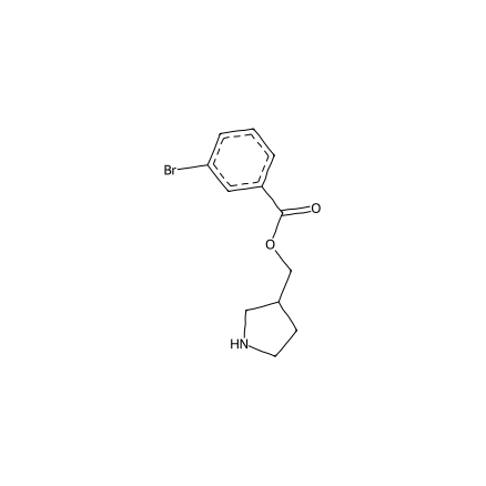 O=C(OCC1CCNC1)c1cccc(Br)c1